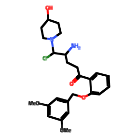 COc1cc(COc2ccccc2C(=O)CCC(N)C(Cl)N2CCC(O)CC2)cc(OC)c1